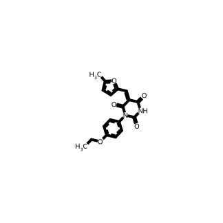 CCOc1ccc(N2C(=O)NC(=O)C(=Cc3ccc(C)o3)C2=O)cc1